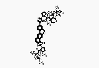 COC(=O)N[C@H](C(=O)N1[C@@H](C)CC[C@H]1c1nc2ccc3cc4c(cc3c2[nH]1)OCc1cc(-c2cnc([C@@H]3CC[C@H](C)N3C(=O)[C@@H](NC(=O)OC(C)(C)C)C3(C)CCOCC3)[nH]2)ccc1-4)C(C)C